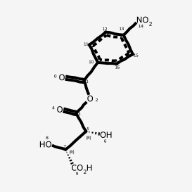 O=C(OC(=O)[C@H](O)[C@@H](O)C(=O)O)c1ccc([N+](=O)[O-])cc1